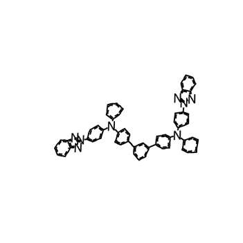 c1ccc(N(c2ccc(-c3cccc(-c4ccc(N(c5ccccc5)c5ccc(-n6nc7ccccc7n6)cc5)cc4)c3)cc2)c2ccc(-n3nc4ccccc4n3)cc2)cc1